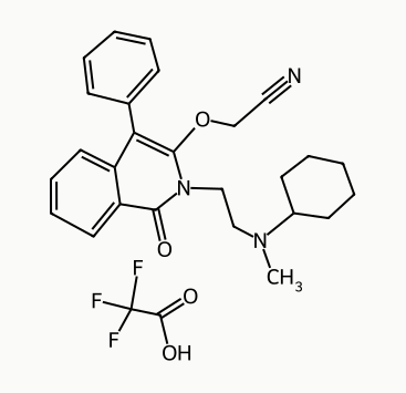 CN(CCn1c(OCC#N)c(-c2ccccc2)c2ccccc2c1=O)C1CCCCC1.O=C(O)C(F)(F)F